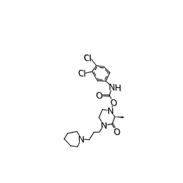 C[C@H]1C(=O)N(CCCN2CCCCC2)CCN1OC(=O)Nc1ccc(Cl)c(Cl)c1